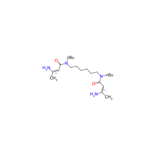 CCCCN(CCCCCCN(CCCC)C(=O)/C=C(/C)N)C(=O)/C=C(/C)N